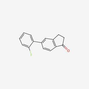 O=C1CCc2cc(-c3ccccc3F)ccc21